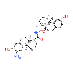 C[C@H]1CC[C@](C)(C(=O)NC(=O)[C@@]2(C)CC[C@H](C)[C@@H]3c4cc(N)c(O)cc4CC[C@H]32)[C@@H]2CCc3ccc(O)cc3[C@H]21